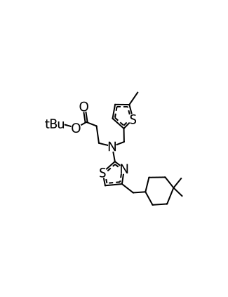 Cc1ccc(CN(CCC(=O)OC(C)(C)C)c2nc(CC3CCC(C)(C)CC3)cs2)s1